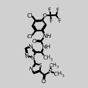 CC(NC(=O)Nc1cc(OC(F)(F)C(F)F)c(Cl)cc1Cl)c1ncnn1-c1ncc(C(=O)N(C)C)s1